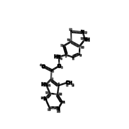 Cc1c(C(=O)ONc2ccc3[nH]ncc3c2)[nH]c2ncncc12